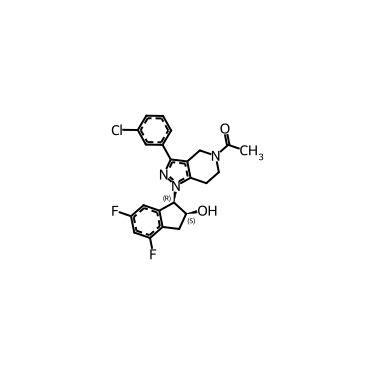 CC(=O)N1CCc2c(c(-c3cccc(Cl)c3)nn2[C@@H]2c3cc(F)cc(F)c3C[C@@H]2O)C1